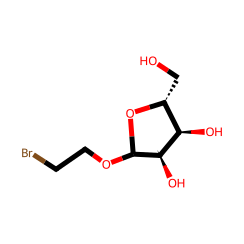 OC[C@H]1OC(OCCBr)[C@H](O)[C@@H]1O